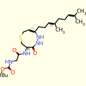 CC(C)=CCC/C(C)=C/CC/C1=C/CSC[C@H](NC(=O)CNC(=O)OC(C)(C)C)C(=O)NN1